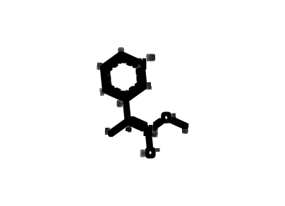 CO[N+]([O-])=C(C)c1cccnc1